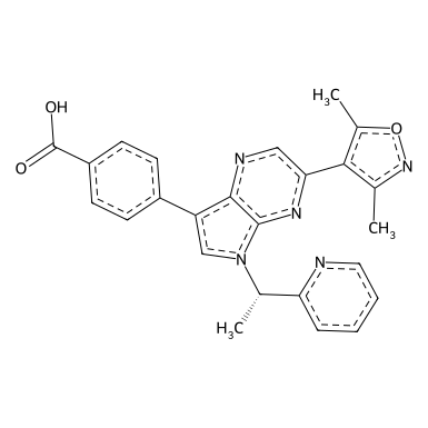 Cc1noc(C)c1-c1cnc2c(-c3ccc(C(=O)O)cc3)cn([C@@H](C)c3ccccn3)c2n1